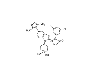 Cc1noc(C)c1-c1ccc2c(c1)nc([C@@H]1CCC(=O)N1c1cc(F)cc(Cl)c1)n2C1CCS(O)(O)CC1